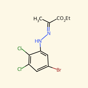 CCOC(=O)C(C)=NNc1cc(Br)cc(Cl)c1Cl